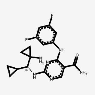 NC(=O)c1cnc(N[C@H](C2CC2)C2(N)CC2)nc1Nc1cc(F)cc(F)c1